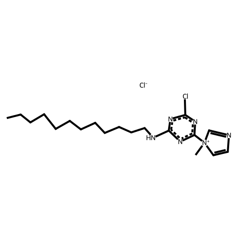 CCCCCCCCCCCCNc1nc(Cl)nc([N+]2(C)C=CN=C2)n1.[Cl-]